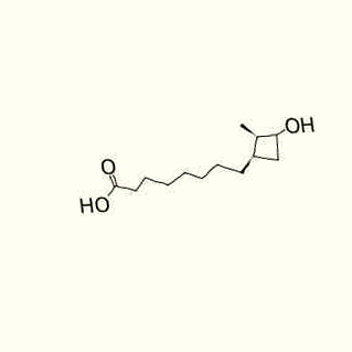 C[C@H]1C(O)C[C@H]1CCCCCCCC(=O)O